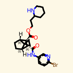 O=C(OCCC1CCCCN1)[C@H]1[C@H](C(=O)Nc2ccc(Br)nc2)[C@@H]2CC[C@H]1C21CC1